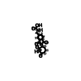 O=C(O)NCc1ccc2c(c1)C(=O)N(C1CCCC(=O)NC1=O)C2=O